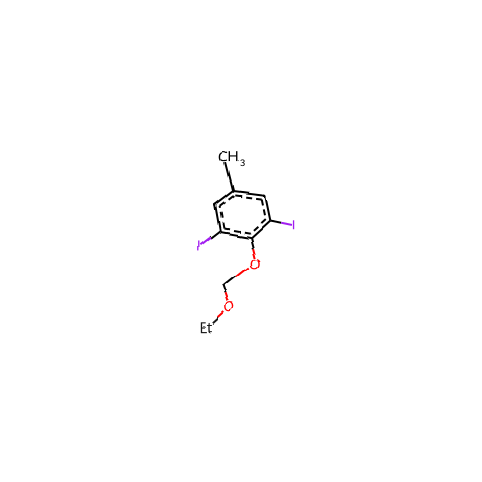 CCOCOc1c(I)cc(C)cc1I